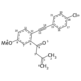 C=C(C)CC(=O)c1cc(OC)ccc1C#Cc1ccc(Cl)cc1